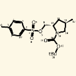 Cc1ccc(S(=O)(=O)OC[C@@H]2C[C@@H](C)CN2C(=O)OC(C)(C)C)cc1